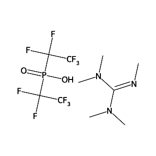 CN=C(N(C)C)N(C)C.O=P(O)(C(F)(F)C(F)(F)F)C(F)(F)C(F)(F)F